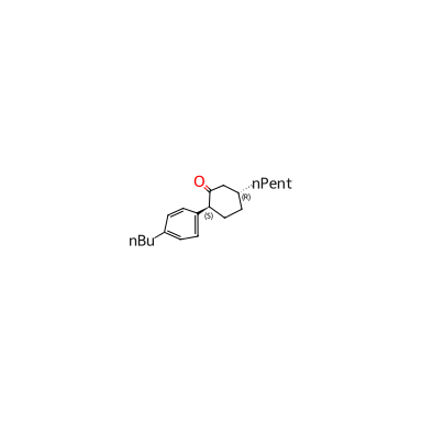 CCCCC[C@@H]1CC[C@@H](c2ccc(CCCC)cc2)C(=O)C1